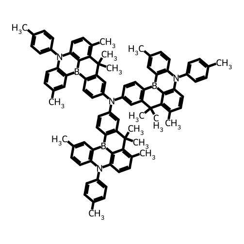 Cc1ccc(N2c3ccc(C)cc3B3c4ccc(N(c5ccc6c(c5)C(C)(C)c5c(C)ccc7c5B6c5cc(C)ccc5N7c5ccc(C)cc5)c5ccc6c(c5)C(C)(C)c5c(C)ccc7c5B6c5cc(C)ccc5N7c5ccc(C)cc5)cc4C(C)(C)c4c(C)ccc2c43)cc1